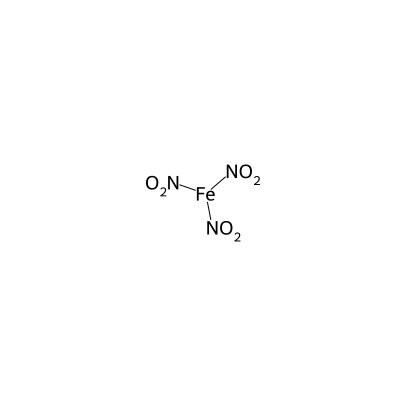 O=[N+]([O-])[Fe]([N+](=O)[O-])[N+](=O)[O-]